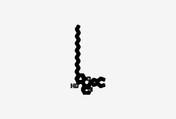 CCCCCCCCCCCCCCc1cc(O)c2c(c1)OC(CCCC)(CCCC)C1=C2C2CCN1CC2